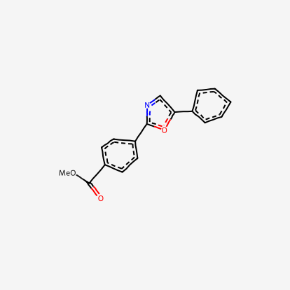 COC(=O)c1ccc(-c2ncc(-c3ccccc3)o2)cc1